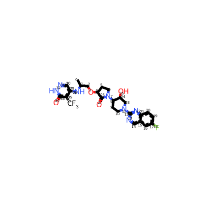 CC(COC1CCN(C2CCN(c3ncc4cc(F)ccc4n3)CC2O)C1=O)Nc1cn[nH]c(=O)c1C(F)(F)F